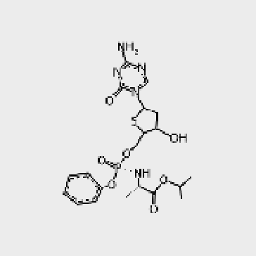 CC(C)OC(=O)[C@H](C)N[P@](=O)(OCC1SC(n2cnc(N)nc2=O)CC1O)Oc1ccccc1